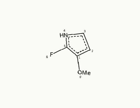 COc1cc[nH]c1F